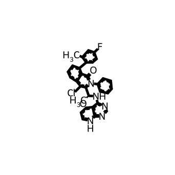 Cc1cc(F)ccc1-c1cccc2c(Cl)c([C@H](C)Nc3ncnc4[nH]ccc(=O)c34)n(-c3ccccc3)c(=O)c12